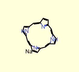 C1=Cc2cc3ccc(cc4nc(cc5ccc(cc1n2)[nH]5)C=C4)[nH]3.[Na+]